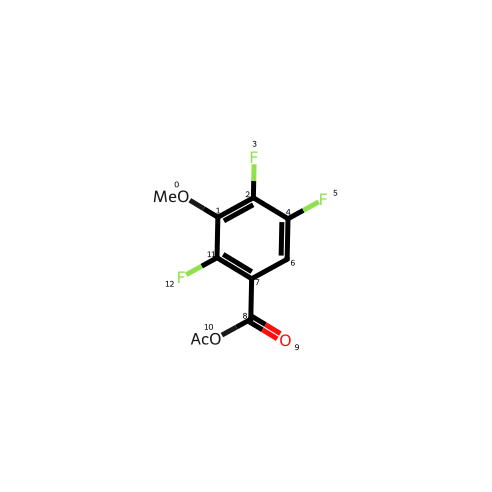 COc1c(F)c(F)cc(C(=O)OC(C)=O)c1F